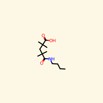 CCCCNC(=O)C(C)(C)CC(C)(C)C(=O)O